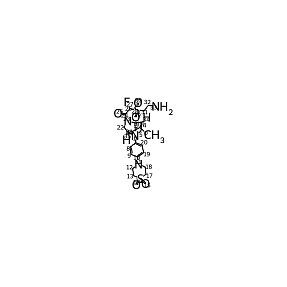 CC1C2C3[C@@H]1CN(c1ccc(N4CCS(=O)(=O)CC4)cc1)[C@@H]2CN3C(=O)C(F)S(=O)(=O)CCN